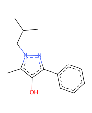 Cc1c(O)c(-c2ccccc2)nn1CC(C)C